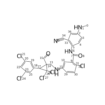 CNc1ccc(NC(=O)c2cc(NCC3(C=O)C(c4cc(Cl)cc(Cl)c4)C3(Cl)Cl)ccc2Cl)c(C#N)c1